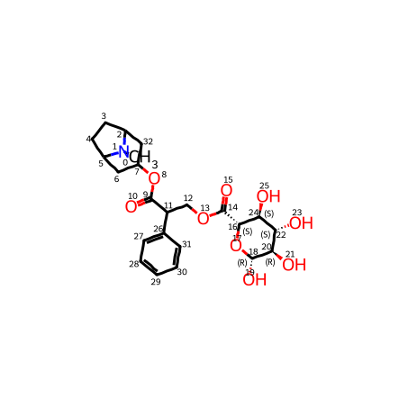 CN1C2CCC1CC(OC(=O)C(COC(=O)[C@H]1O[C@@H](O)[C@H](O)[C@@H](O)[C@@H]1O)c1ccccc1)C2